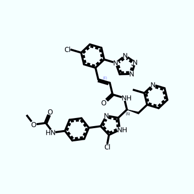 COC(=O)Nc1ccc(-c2nc([C@H](Cc3cccnc3C)NC(=O)/C=C/c3cc(Cl)ccc3-n3cnnn3)[nH]c2Cl)cc1